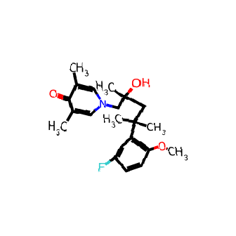 COc1ccc(F)cc1C(C)(C)CC(C)(O)Cn1cc(C)c(=O)c(C)c1